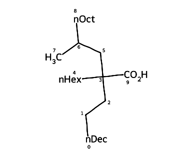 CCCCCCCCCCCCC(CCCCCC)(CC(C)CCCCCCCC)C(=O)O